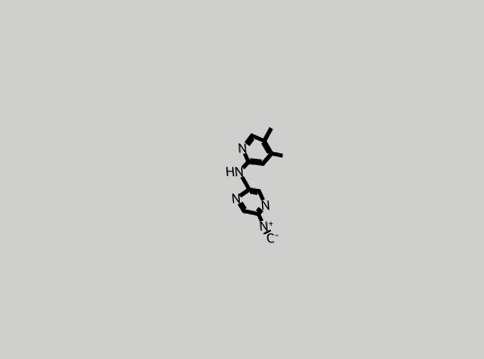 [C-]#[N+]c1cnc(Nc2cc(C)c(C)cn2)cn1